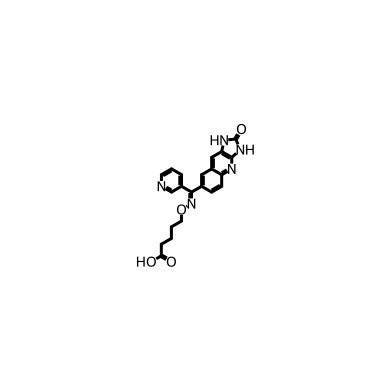 O=C(O)CCCCON=C(c1cccnc1)c1ccc2nc3[nH]c(=O)[nH]c3cc2c1